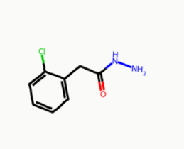 NNC(=O)Cc1ccccc1Cl